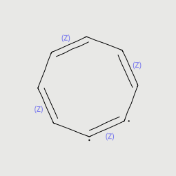 [C]1=[C]\C=C/C=C\C=C/1